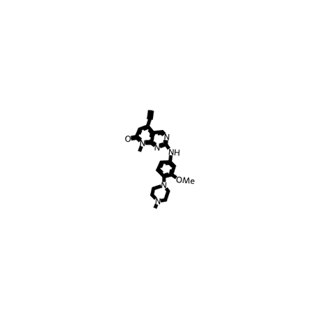 C#Cc1cc(=O)n(C)c2nc(Nc3ccc(N4CCN(C)CC4)c(OC)c3)ncc12